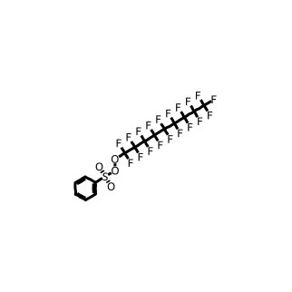 O=S(=O)(OOC(F)(F)C(F)(F)C(F)(F)C(F)(F)C(F)(F)C(F)(F)C(F)(F)C(F)(F)C(F)(F)F)c1ccccc1